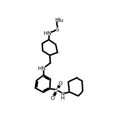 CC(C)(C)SNC1CCC(CNc2cccc(S(=O)(=O)NC3CCCCC3)c2)CC1